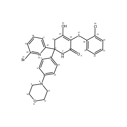 O=C1NC(c2ccc(N3CCOCC3)cc2)(c2cccc(Br)n2)CC(O)=C1Sc1ccccc1Cl